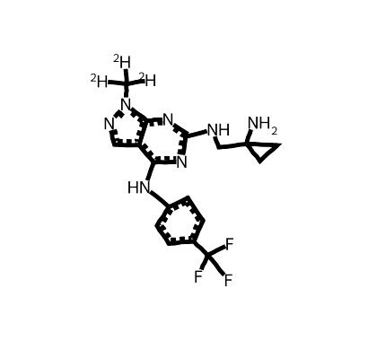 [2H]C([2H])([2H])n1ncc2c(Nc3ccc(C(F)(F)F)cc3)nc(NCC3(N)CC3)nc21